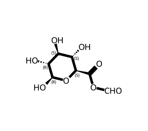 O=COC(=O)[C@H]1O[C@@H](O)[C@H](O)[C@@H](O)[C@@H]1O